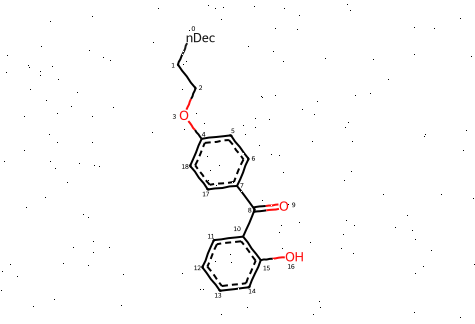 CCCCCCCCCCCCOc1ccc(C(=O)c2ccccc2O)cc1